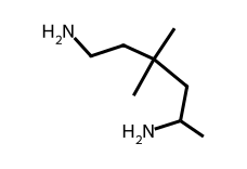 CC(N)CC(C)(C)CCN